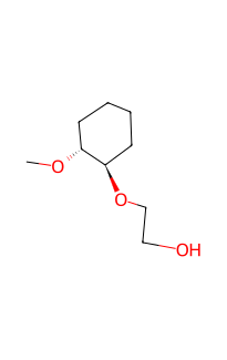 CO[C@@H]1CCCC[C@H]1OCCO